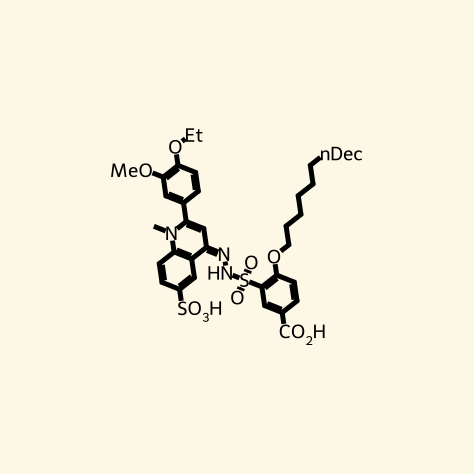 CCCCCCCCCCCCCCCCOc1ccc(C(=O)O)cc1S(=O)(=O)N/N=c1/cc(-c2ccc(OCC)c(OC)c2)n(C)c2ccc(S(=O)(=O)O)cc12